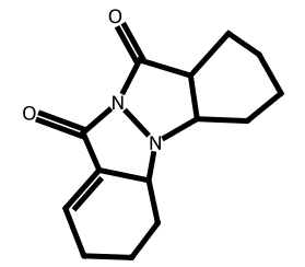 O=C1C2=CCCCC2N2C3CCCCC3C(=O)N12